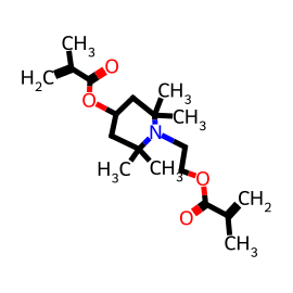 C=C(C)C(=O)OCCN1C(C)(C)CC(OC(=O)C(=C)C)CC1(C)C